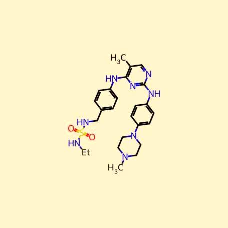 CCNS(=O)(=O)NCc1ccc(Nc2nc(Nc3ccc(N4CCN(C)CC4)cc3)ncc2C)cc1